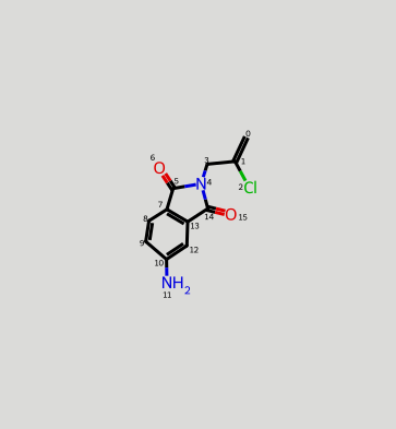 C=C(Cl)CN1C(=O)c2ccc(N)cc2C1=O